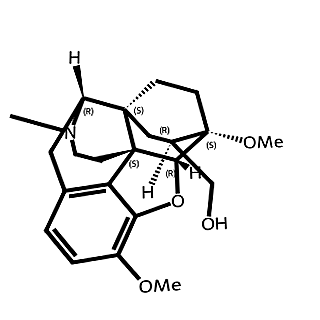 COc1ccc2c3c1O[C@H]1[C@]4(OC)CC[C@@]5(C[C@@H]4CO)[C@@H](C2)N(C)CC[C@]315